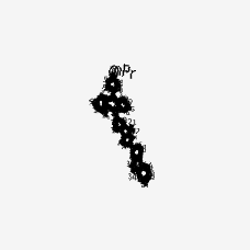 CCCOc1ccc(-c2c3ccccc3c(-c3ccc4c(c3)C(C)(C)c3cc(-c5ccc6c(c5)C(C)(C)c5ccccc5-6)ccc3-4)c3ccccc23)cc1